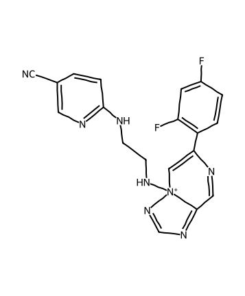 N#Cc1ccc(NCCN[N+]23C=C(c4ccc(F)cc4F)N=CC2=NC=N3)nc1